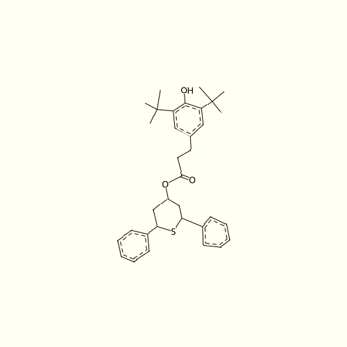 CC(C)(C)c1cc(CCC(=O)OC2CC(c3ccccc3)SC(c3ccccc3)C2)cc(C(C)(C)C)c1O